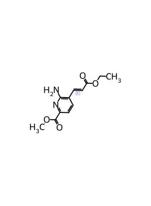 CCOC(=O)/C=C/c1ccc(C(=O)OC)nc1N